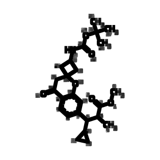 COC(=O)C(C)C(c1ccc2c(c1)OC1(CC2=O)CC(NC(=O)OC(C)(C)C)C1)C1CC1